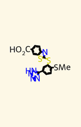 CSc1ccc(-c2nnn[nH]2)cc1Sc1nc2ccc(C(=O)O)cc2s1